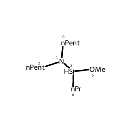 CCCCCN(CCCCC)[SiH](CCC)OC